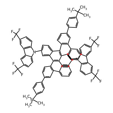 CC(C)(C)c1ccc(-c2ccc(-c3c4ccc(-n5c6ccc(C(F)(F)F)cc6c6cc(C(F)(F)F)ccc65)cc4c(-c4ccc(-c5ccc([Si](C)(C)C)cc5)cc4-c4ccccc4)c4ccc(-n5c6ccc(C(F)(F)F)cc6c6cc(C(F)(F)F)ccc65)cc34)c(-c3ccccc3)c2)cc1